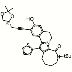 CC1(C)OC[C@@H](CC#Cc2cc3c(cc2O)CCn2c4c(c(-c5cccs5)c2-3)CCCCN(C(C)(C)C)C4=O)O1